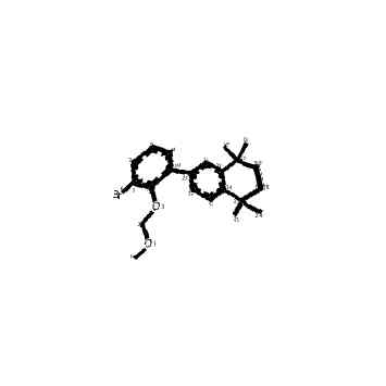 COCOc1c(Br)cccc1-c1ccc2c(c1)C(C)(C)CCC2(C)C